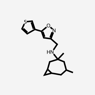 CC1CC2CC2CC(C)(NCc2cc(-c3ccsc3)on2)C1